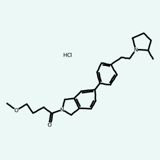 COCCCC(=O)N1Cc2ccc(-c3ccc(CCN4CCCC4C)cc3)cc2C1.Cl